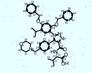 CC(C)c1cc(-n2nnc(C(=O)N[C@H](C(=O)O)C(C)C)c2-c2ccc(CN3CCOCC3)cc2)c(OCc2ccccc2)cc1OCc1ccccc1